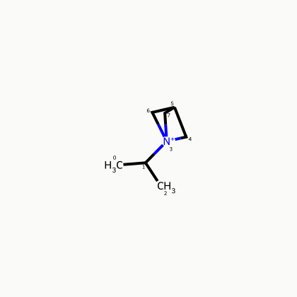 CC(C)[N+]12CC(C1)C2